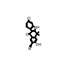 CC1(C)c2cc(O)c(C#N)cc2C(=O)c2c1[nH]c1cc(Cl)ccc21